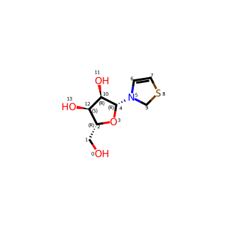 OC[C@H]1O[C@@H](N2C=CSC2)[C@H](O)[C@@H]1O